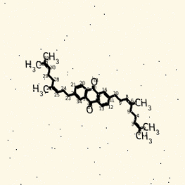 CC(C)=CCCC(C)=CCCc1ccc2c(c1)C(=O)c1ccc(CCC=C(C)CCC=C(C)C)cc1C2=O